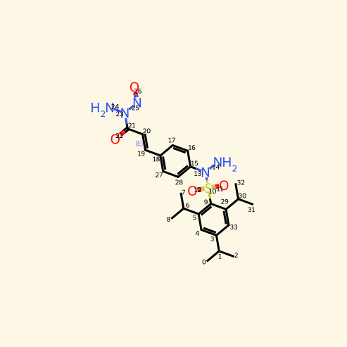 CC(C)c1cc(C(C)C)c(S(=O)(=O)N(N)c2ccc(/C=C/C(=O)N(N)N=O)cc2)c(C(C)C)c1